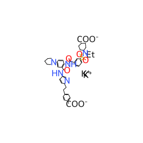 CCN([C@H]1CC[C@H](C(=O)[O-])CC1)S(=O)(=O)c1cccc(C(=O)Nc2ccc(N3CCCCC3)cc2C(=O)Nc2ccc(CCc3ccc(C(=O)[O-])cc3)nc2)c1.[K+].[K+]